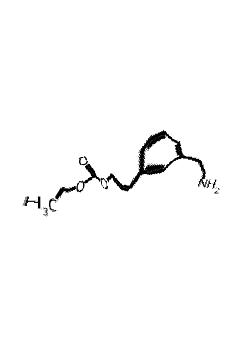 CCOC(=O)O/C=C/c1cccc(CN)c1